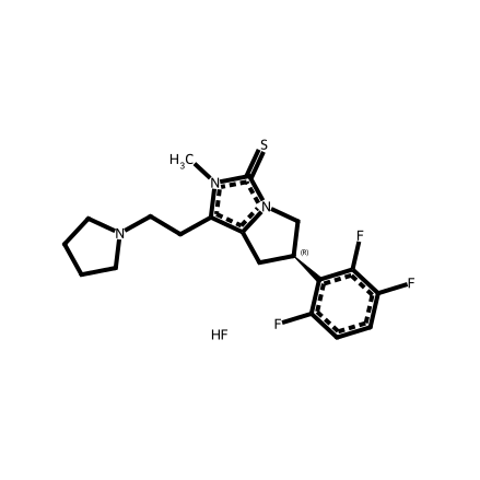 Cn1c(CCN2CCCC2)c2n(c1=S)C[C@@H](c1c(F)ccc(F)c1F)C2.F